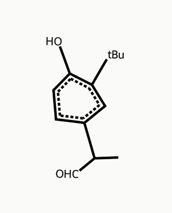 CC(C=O)c1ccc(O)c(C(C)(C)C)c1